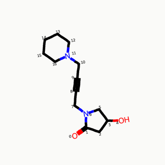 O=C1CC(O)CN1CC#CCN1CCCCC1